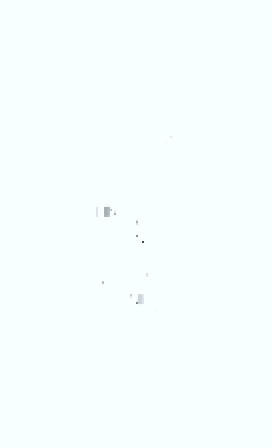 CC(C)(N)CNc1[nH]ccc2c(Cl)ccc1-2